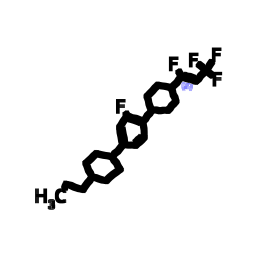 CCCC1CCC(c2ccc(C3CCC(/C(F)=C/C(F)(F)F)CC3)c(F)c2)CC1